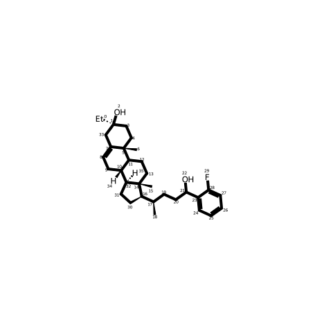 CC[C@]1(O)CC[C@@]2(C)C(=CC[C@@H]3C2CC[C@]2(C)[C@@H]([C@H](C)CCC(O)c4ccccc4F)CC[C@@H]32)C1